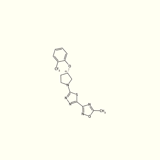 Cc1nc(-c2nnc(N3CC[C@H](Oc4ccccc4C(F)(F)F)C3)s2)no1